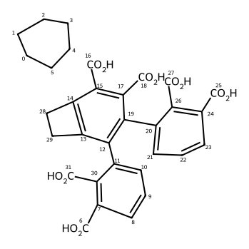 C1CCCCC1.O=C(O)c1cccc(-c2c3c(c(C(=O)O)c(C(=O)O)c2-c2cccc(C(=O)O)c2C(=O)O)CC3)c1C(=O)O